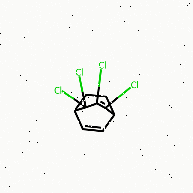 ClC1=C(Cl)C(Cl)(Cl)C2C=CC1CC2